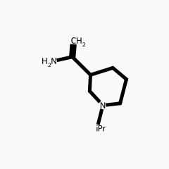 C=C(N)C1CCCN(C(C)C)C1